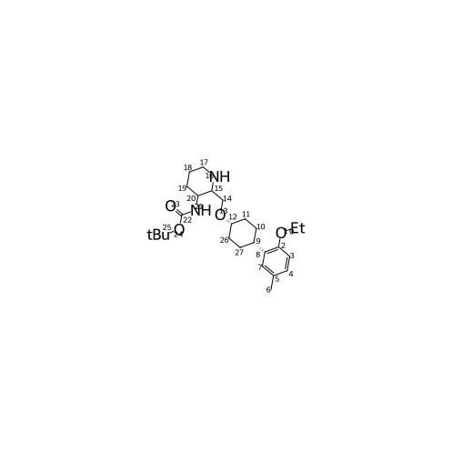 CCOc1ccc(C)cc1[C@H]1CC[C@@H](OCC2NCCCC2NC(=O)OC(C)(C)C)CC1